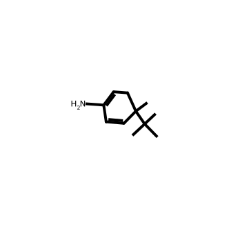 CC(C)(C)C1(C)C=CC(N)=CC1